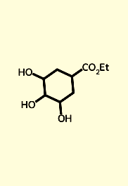 CCOC(=O)C1CC(O)C(O)C(O)C1